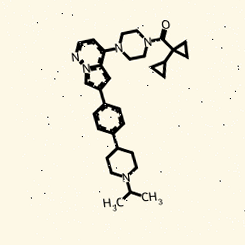 CC(C)N1CCC(c2ccc(-c3cc4c(N5CCN(C(=O)C6(C7CC7)CC6)CC5)ccnn4c3)cc2)CC1